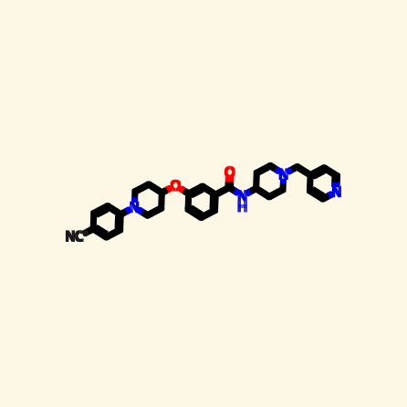 N#Cc1ccc(N2CCC(Oc3cccc(C(=O)NC4CCN(Cc5ccncc5)CC4)c3)CC2)cc1